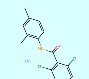 Cc1ccc(PC(=O)c2c(Cl)cccc2Cl)c(C)c1.[LiH]